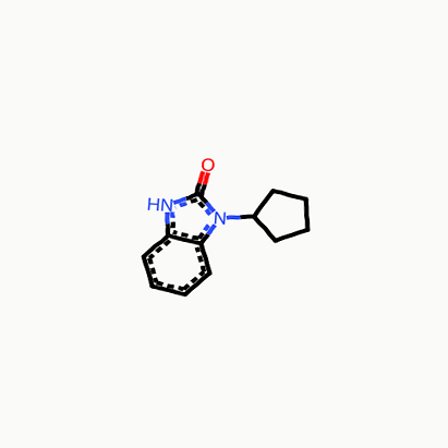 O=c1[nH]c2ccccc2n1C1CCCC1